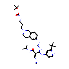 C=N/C=C(C(=O)NC(C)C)\C(=N/CNc1ccc2c(c1)CCN(CCCNC(=O)OC(C)(C)C)C2)Nc1ccnc(C(C)(C)C)c1